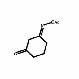 CC(=O)ON=C1CCCC(=O)C1